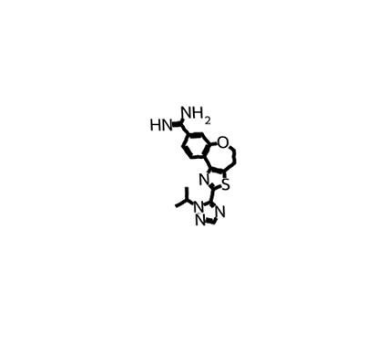 CC(C)n1ncnc1-c1nc2c(s1)CCOc1cc(C(=N)N)ccc1-2